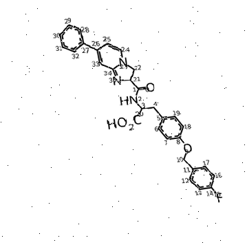 O=C(NC(Cc1ccc(OCc2ccc(F)cc2)cc1)C(=O)O)C1CN2C=CC(c3ccccc3)=CC2=N1